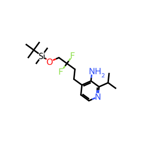 CC(C)c1nccc(CCC(F)(F)CO[Si](C)(C)C(C)(C)C)c1N